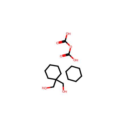 C1CCCCC1.O=C(O)OC(=O)O.OCC1(CO)CCCCC1